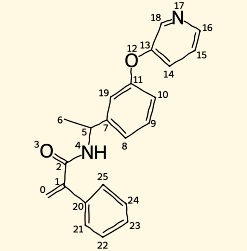 C=C(C(=O)NC(C)c1cccc(Oc2cccnc2)c1)c1ccccc1